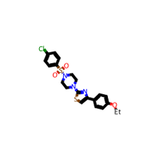 CCOc1ccc(-c2csc(N3CCN(S(=O)(=O)c4ccc(Cl)cc4)CC3)n2)cc1